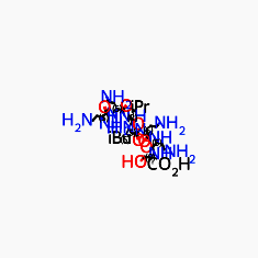 CC[C@H](C)[C@H](NC(=O)[C@@H](CC(C)C)NC(=O)[C@H](CCN)NC(=O)[C@@H](N)CCN)C(=O)N[C@@H](CCN)C(=O)N[C@@H](CCN)C(=O)N[C@@H](CO)C(=O)O